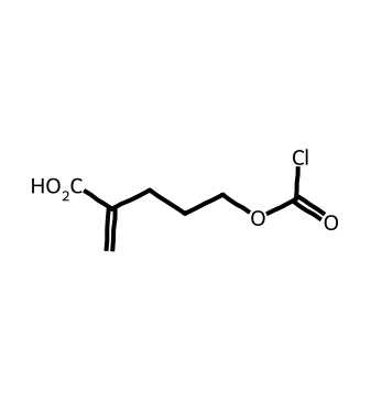 C=C(CCCOC(=O)Cl)C(=O)O